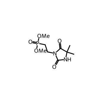 COP(=O)(CCN1C(=O)NC(C)(C)C1=O)OC